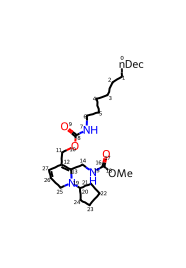 CCCCCCCCCCCCCCCCNC(=O)OCC1=C(CNC(=O)OC)N(C2CCCC2)CC=C1